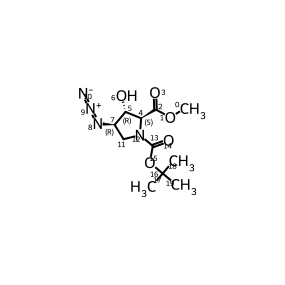 COC(=O)[C@@H]1[C@@H](O)[C@H](N=[N+]=[N-])CN1C(=O)OC(C)(C)C